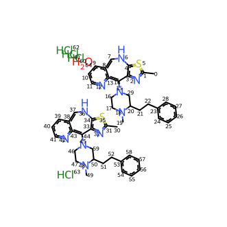 Cc1nc2c(s1)NC=c1cccnc1=C2N1CCN(C)C(CCc2ccccc2)C1.Cc1nc2c(s1)NC=c1cccnc1=C2N1CCN(C)C(CCc2ccccc2)C1.Cl.Cl.Cl.Cl.O